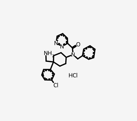 Cl.NCC1(c2cccc(Cl)c2)CCC(N(Cc2ccccc2)C(=O)c2cccnn2)CC1